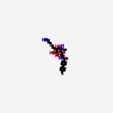 CC(=O)N[C@H]1[C@H](C[C@H](O)CNC(=O)c2ccc(-c3ccc(C)cc3)cc2)O[C@@](OCCCSCCN=N)(C(=O)O)C[C@@H]1O